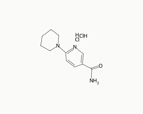 Cl.Cl.NC(=O)c1ccc(N2CCCCC2)nc1